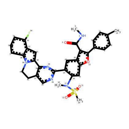 CNC(=O)c1c(-c2ccc(C)cc2)oc2cc(N(C)S(C)(=O)=O)c(-c3ncc4c(n3)-c3cc5c(F)cccc5n3CC4)cc12